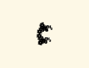 C=C1CC2(OC1=O)C(=O)N(Cc1ccc(-c3ccc(CN4C(=O)C5(CC(=C)C(=O)O5)c5ccccc54)cc3)cc1)c1ccccc12